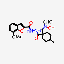 COc1cccc2cc(C(=O)NNC(=O)C3(CN(O)C=O)CCC(C)CC3)oc12